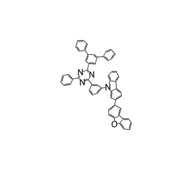 c1ccc(-c2cc(-c3ccccc3)cc(-c3nc(-c4ccccc4)nc(-c4cccc(-n5c6ccccc6c6ccc(-c7ccc8oc9ccccc9c8c7)cc65)c4)n3)c2)cc1